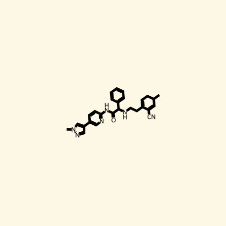 CC1C=C(C#N)C(CCNC(C(=O)Nc2ccc(-c3cnn(C)c3)cn2)c2ccccc2)=CC1